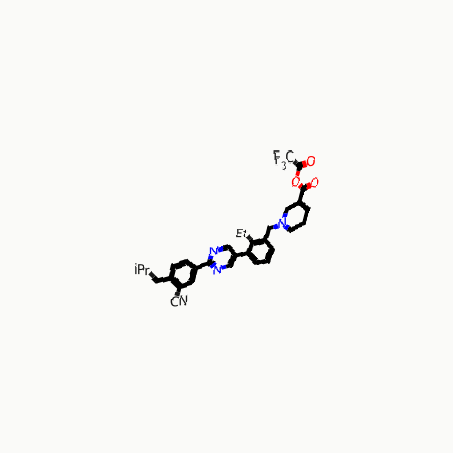 CCc1c(CN2CCCC(C(=O)OC(=O)C(F)(F)F)C2)cccc1-c1cnc(-c2ccc(CC(C)C)c(C#N)c2)nc1